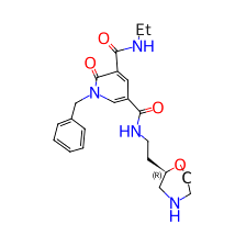 CCNC(=O)c1cc(C(=O)NCC[C@@H]2CNCCO2)cn(Cc2ccccc2)c1=O